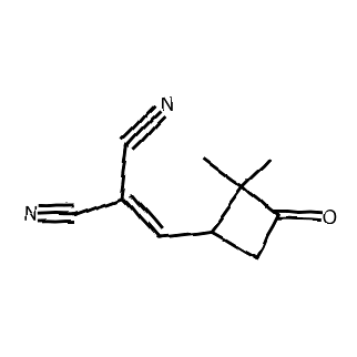 CC1(C)C(=O)CC1C=C(C#N)C#N